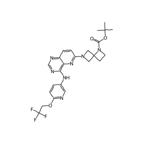 CC(C)(C)OC(=O)N1CCC12CN(c1ccc3ncnc(Nc4ccc(OCC(F)(F)F)nc4)c3n1)C2